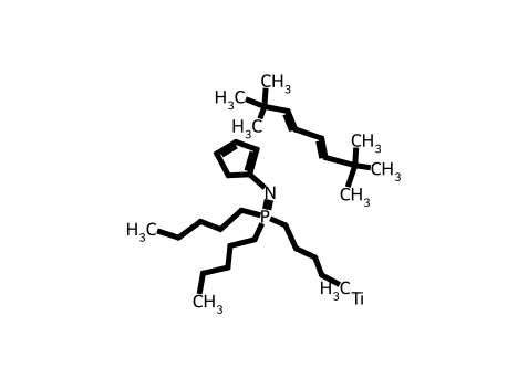 CC(C)(C)C=CC=CC(C)(C)C.CCCCCP(CCCCC)(CCCCC)=NC1=CC=CC1.[Ti]